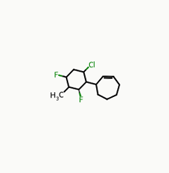 CC1C(F)CC(Cl)C(C2C=CCCCC2)[C@H]1F